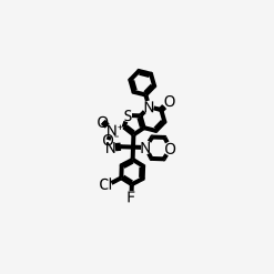 N#CC(c1ccc(F)c(Cl)c1)(c1c([N+](=O)[O-])sc2c1ccc(=O)n2-c1ccccc1)N1CCOCC1